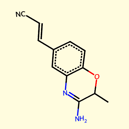 CC1Oc2ccc(C=CC#N)cc2N=C1N